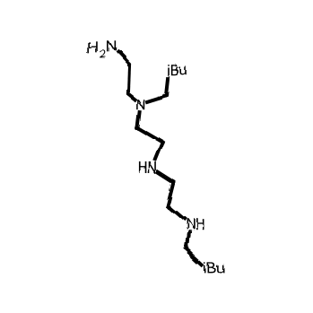 CCC(C)CNCCNCCN(CCN)CC(C)CC